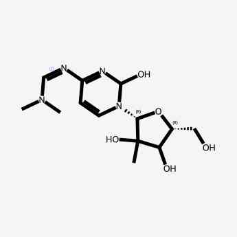 CN(C)/C=N\C1=NC(O)N([C@@H]2O[C@H](CO)C(O)C2(C)O)C=C1